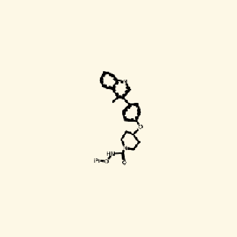 Cc1c(-c2ccc(OC3CCN(C(=O)NOC(C)C)CC3)cc2)cnc2ccccc12